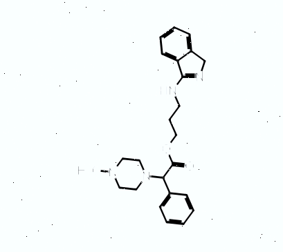 CN1CCN(C(C(=O)OCCCNC2=NCc3ccccc32)c2ccccc2)CC1